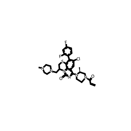 C=CC(=O)N1CCN(c2nc(=O)n3c4c(c(-c5ccc(F)cc5F)c(Cl)cc24)SCC3CN2CCN(C)CC2)[C@@H](C)C1